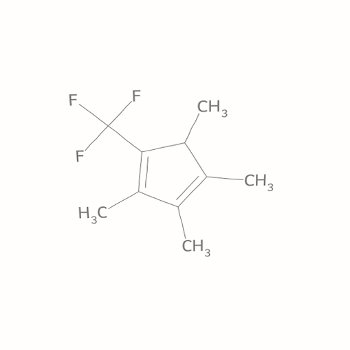 CC1=C(C)C(C)C(C(F)(F)F)=C1C